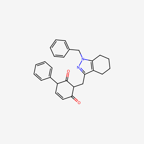 O=C1C=CC(c2ccccc2)C(=O)C1Cc1nn(Cc2ccccc2)c2c1CCCC2